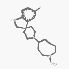 O=CN1CCCC(N2CCC3(CC2)CNc2ccc(F)cc23)CC1